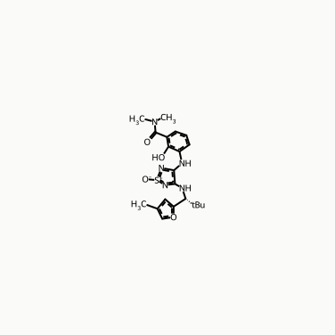 Cc1coc([C@H](Nc2n[s+]([O-])nc2Nc2cccc(C(=O)N(C)C)c2O)C(C)(C)C)c1